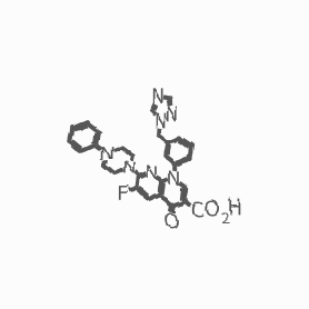 O=C(O)c1cn(-c2cccc(Cn3cncn3)c2)c2nc(N3CCN(c4ccccc4)CC3)c(F)cc2c1=O